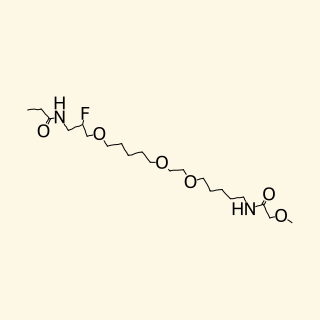 CCC(=O)NCC(F)COCCCCCOCCOCCCCCNC(=O)COC